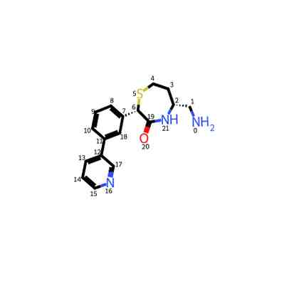 NC[C@H]1CCS[C@@H](c2cccc(-c3cccnc3)c2)C(=O)N1